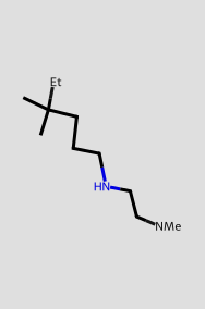 CCC(C)(C)CCCNCCNC